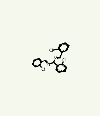 Clc1ccccc1C=NC(N=Cc1ccccc1Cl)c1ccccc1Cl